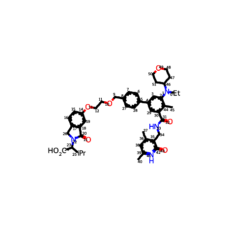 CCN(c1cc(-c2ccc(COCCOc3ccc4c(c3)C(=O)N(C(C(=O)O)C(C)C)C4)cc2)cc(C(=O)NCc2c(C)cc(C)[nH]c2=O)c1C)C1CCOCC1